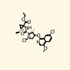 C=C[C@@H]1C[C@]1(NC(=O)[C@@H]1[C@H](C)[C@@H](Oc2ncc(OC)c3ccc(Cl)cc23)CN1Cl)C(=O)OCC